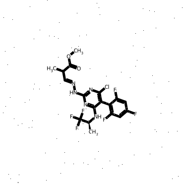 COC(=O)C(C)/C=N/Nc1nc(Cl)c(-c2c(F)cc(F)cc2F)c(N[C@@H](C)C(F)(F)F)n1